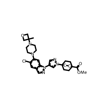 COC(=O)C12CCC(n3cc(-n4ncc5cc(Cl)c(N6CCN(C7(C)COC7)CC6)cc54)cn3)(CC1)CC2